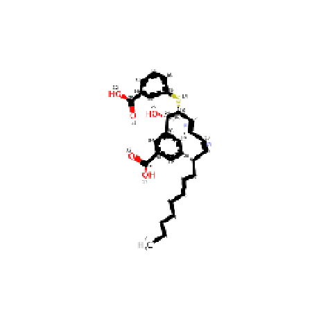 CCCCCCCCC/C=C\C=C\[C@@H](Sc1cccc(C(=O)O)c1)[C@@H](O)c1cccc(C(=O)O)c1